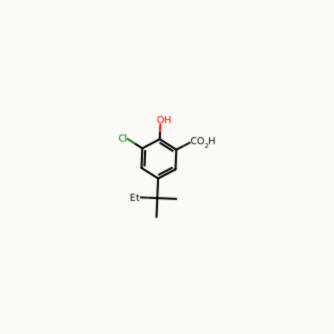 CCC(C)(C)c1cc(Cl)c(O)c(C(=O)O)c1